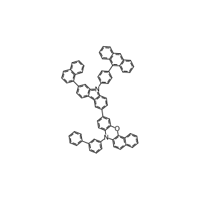 c1ccc(-c2cccc(N3c4ccc(-c5ccc6c(c5)c5ccc(-c7cccc8ccccc78)cc5n6-c5ccc(-c6c7ccccc7cc7ccccc67)cc5)cc4Oc4c3ccc3ccccc43)c2)cc1